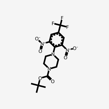 CC(C)(C)OC(=O)N1CCN(c2c([N+](=O)[O-])cc(C(F)(F)F)cc2[N+](=O)[O-])CC1